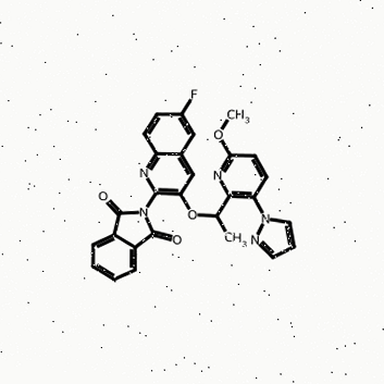 COc1ccc(-n2cccn2)c(C(C)Oc2cc3cc(F)ccc3nc2N2C(=O)c3ccccc3C2=O)n1